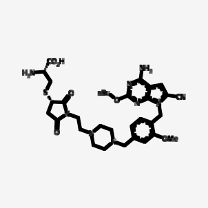 CCCCOc1nc(N)c2cc(C#N)n(Cc3ccc(CN4CCN(CCN5C(=O)C[C@H](SC[C@H](N)C(=O)O)C5=O)CC4)cc3OC)c2n1